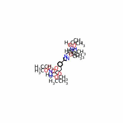 CC(C)(C)OC(=O)NCC(Cn1cc(-c2ccc3c(c2)CCC(C(C)(ONC(=O)OC(C)(C)C)C(=O)OC(C)(C)C)O3)cn1)O[Si](C)(C)C(C)(C)C